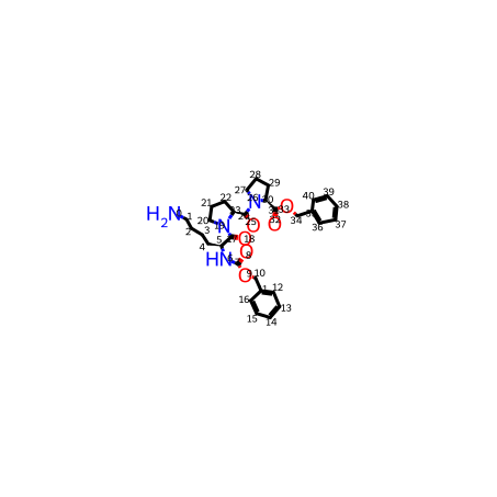 NCCCC[C@H](NC(=O)OCc1ccccc1)C(=O)N1CCC[C@H]1C(=O)N1CCC[C@H]1C(=O)OCc1ccccc1